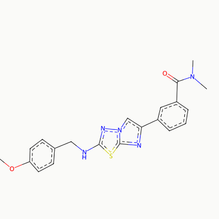 COc1ccc(CNc2nn3cc(-c4cccc(C(=O)N(C)C)c4)nc3s2)cc1